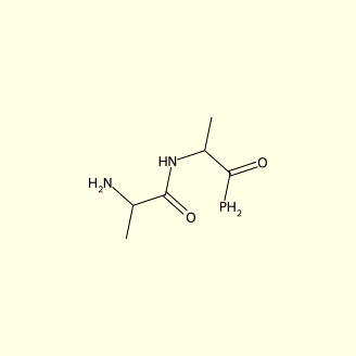 CC(N)C(=O)NC(C)C(=O)P